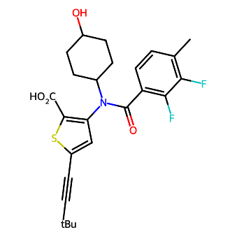 Cc1ccc(C(=O)N(c2cc(C#CC(C)(C)C)sc2C(=O)O)C2CCC(O)CC2)c(F)c1F